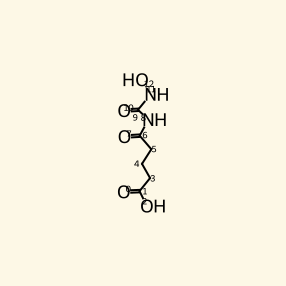 O=C(O)CCCC(=O)NC(=O)NO